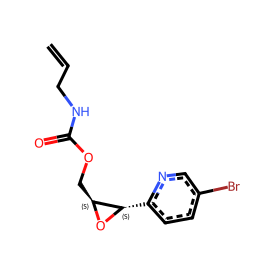 C=CCNC(=O)OC[C@@H]1O[C@H]1c1ccc(Br)cn1